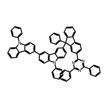 c1ccc(-c2nc(-c3ccccc3)nc(-c3ccc4c(c3)C(c3ccccc3)(c3ccc5c(c3)c3cc(-c6ccc7c(c6)c6ccccc6n7-c6ccccc6)ccc3n5-c3ccccc3)c3ccccc3-4)n2)cc1